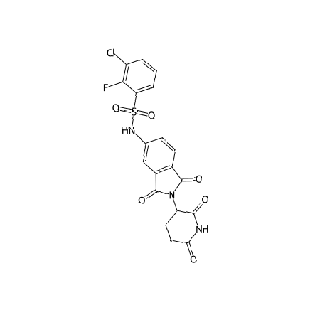 O=C1CCC(N2C(=O)c3ccc(NS(=O)(=O)c4cccc(Cl)c4F)cc3C2=O)C(=O)N1